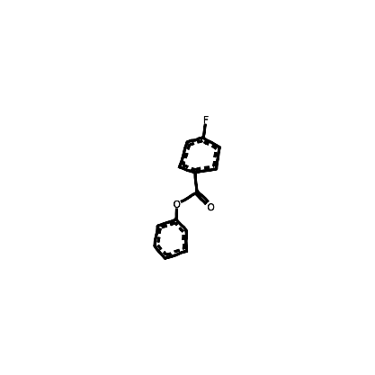 O=C(Oc1ccccc1)c1ccc(F)cc1